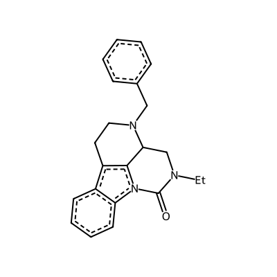 CCN1CC2c3c(c4ccccc4n3C1=O)CCN2Cc1ccccc1